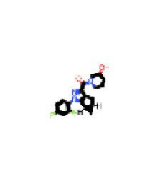 O=C(c1nn(-c2ccc(F)cc2F)c2c1C[C@H]1C[C@@H]21)N1CCCC(O)C1